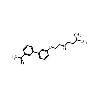 CC(C)CCNCCOc1cccc(-c2cccc(C(N)=O)c2)c1